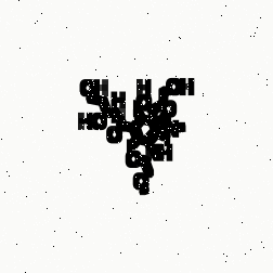 CNC(=O)C1(C(O)CCO)C(I)=C(NC(=O)COC)C(I)=C(C(=O)NC(O)CCO)C1I